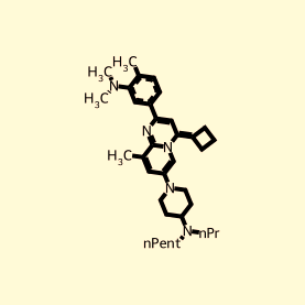 CCCCCN(CCC)C1CCN(C2=CN3C(=NC(c4ccc(C)c(N(C)C)c4)=CC3=C3CCC3)C(C)=C2)CC1